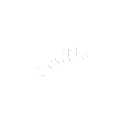 C[C@@H]1OCC2(CCN(c3cnc(Sc4ccnc(NC(=O)NS(=O)(=O)c5ccc(F)cc5)c4Cl)cn3)CC2)[C@@H]1N